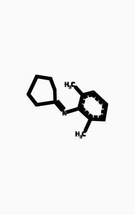 Cc1cccc(C)c1N=C1CCCCC1